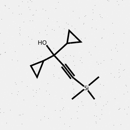 C[Si](C)(C)C#CC(O)(C1CC1)C1CC1